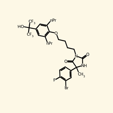 CCCc1cc(C(O)(C(F)(F)F)C(F)(F)F)cc(CCC)c1OCCCCN1C(=O)NC(C)(c2ccc(F)c(Br)c2)C1=O